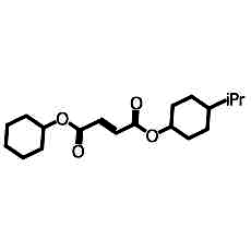 CC(C)C1CCC(OC(=O)/C=C/C(=O)OC2CCCCC2)CC1